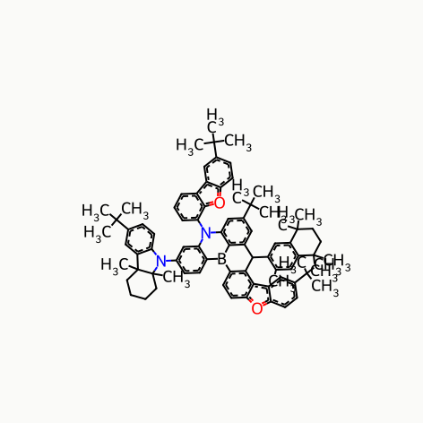 Cc1cc2c(cc1C1c3cc(C(C)(C)C)cc4c3B(c3ccc(N5c6ccc(C(C)(C)C)cc6C6(C)CCCCC56C)cc3N4c3cccc4c3oc3ccc(C(C)(C)C)cc34)c3ccc4oc5ccc(C(C)(C)C)cc5c4c31)C(C)(C)CCC2(C)C